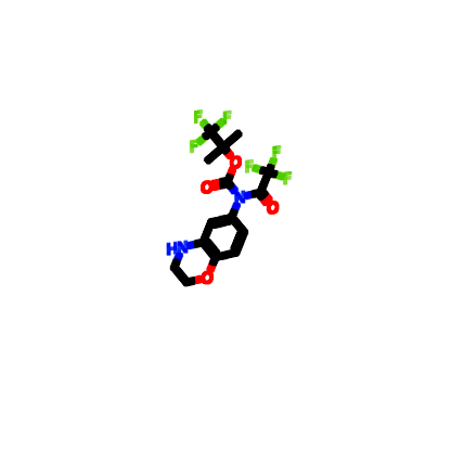 CC(C)(OC(=O)N(C(=O)C(F)(F)F)c1ccc2c(c1)NCCO2)C(F)(F)F